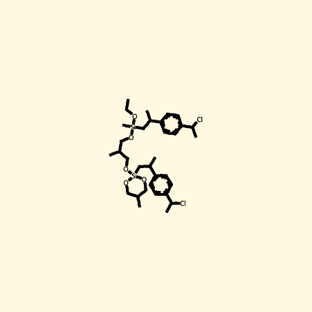 CCO[Si](C)(CC(C)c1ccc(C(C)Cl)cc1)OCC(C)CO[Si]1(CC(C)c2ccc(C(C)Cl)cc2)OCC(C)CO1